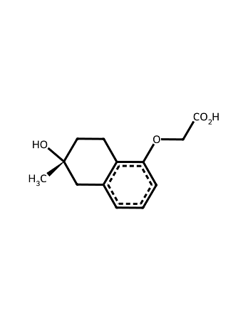 C[C@@]1(O)CCc2c(cccc2OCC(=O)O)C1